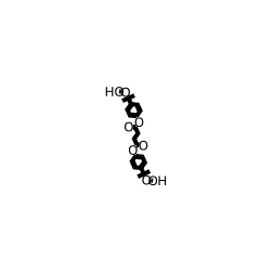 CC(C)(OO)c1ccc(OC(=O)CCC(=O)Oc2ccc(C(C)(C)OO)cc2)cc1